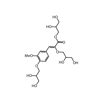 COc1cc(C=C(OCC(O)CO)C(=O)OCC(O)CO)ccc1OCC(O)CO